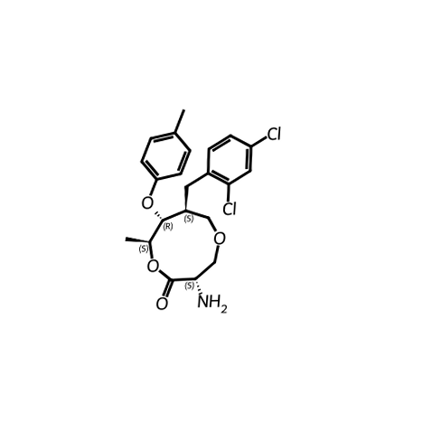 Cc1ccc(O[C@@H]2[C@@H](Cc3ccc(Cl)cc3Cl)COC[C@H](N)C(=O)O[C@H]2C)cc1